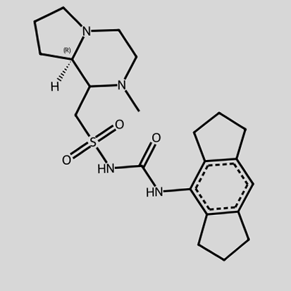 CN1CCN2CCC[C@@H]2C1CS(=O)(=O)NC(=O)Nc1c2c(cc3c1CCC3)CCC2